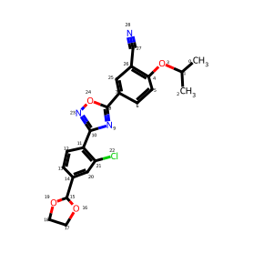 CC(C)Oc1ccc(-c2nc(-c3ccc(C4OCCO4)cc3Cl)no2)cc1C#N